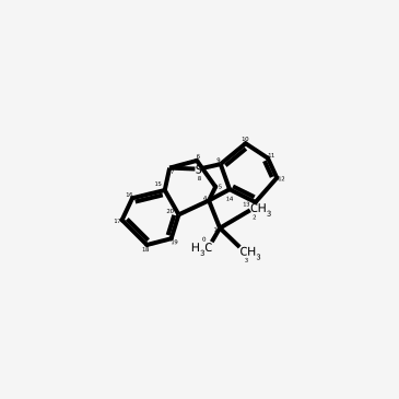 CC(C)(C)C12CCC(Sc3ccccc31)c1ccccc12